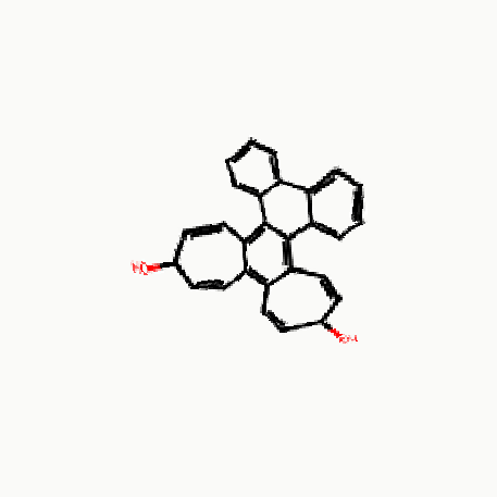 OC1C=Cc2c3c(c4c5ccccc5c5ccccc5c4c2C=C1)C=CC(O)C=C3